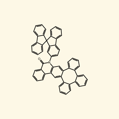 O=c1c2ccccc2c2cc3c(cc2n1-c1ccc2c(c1)C1(c4ccccc4-c4ccccc41)c1ccccc1-2)-c1ccccc1-c1ccccc1-c1ccccc1-3